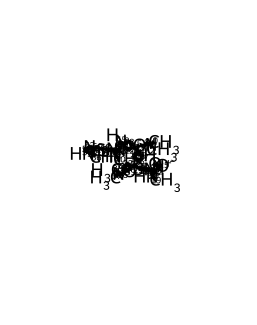 CN(C)CCOC(c1ccccc1)c1ccccc1.CN/C(=C/[N+](=O)[O-])NCCSCc1ccc(CN(C)C)o1.CN/C(=N/C#N)NCCSCc1nc[nH]c1C